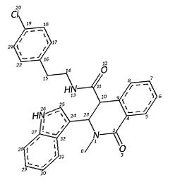 CN1C(=O)c2ccccc2C(C(=O)NCCc2ccc(Cl)cc2)C1c1c[nH]c2ccccc12